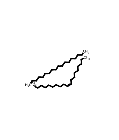 C=CCCCCCCCCCCCCCCCC.CCCCCCCC/C=C\CCCCCCCCN